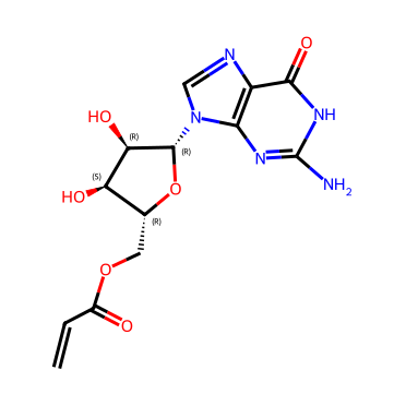 C=CC(=O)OC[C@H]1O[C@@H](n2cnc3c(=O)[nH]c(N)nc32)[C@H](O)[C@@H]1O